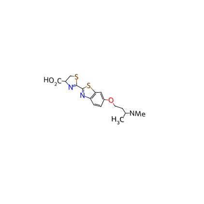 CNC(C)CCOc1ccc2nc(C3=NC(C(=O)O)CS3)sc2c1